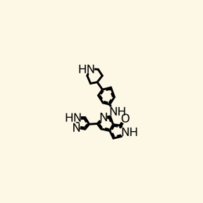 O=c1[nH]ccc2cc(-c3cn[nH]c3)nc(Nc3ccc(C4CCNCC4)cc3)c12